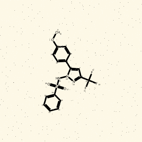 COc1ccc(-c2cc(C(F)(F)F)nn2NS(=O)(=O)c2ccccc2)cc1